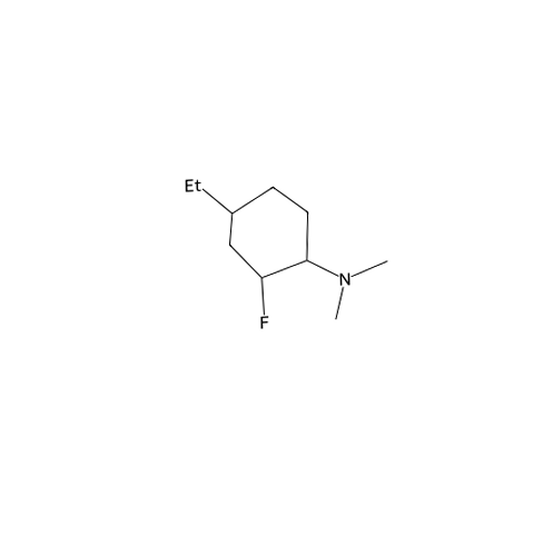 CCC1CCC(N(C)C)C(F)C1